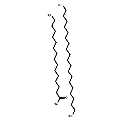 CCCCCCCCCCCCCCCC(=O)O.CCCCCCCCCCCCCCCCCCCCC